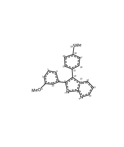 COc1cccc(-c2nc3ncccn3c2-c2ccc(SC)cc2)c1